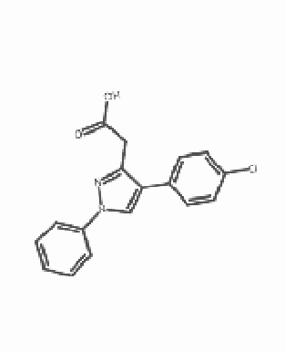 O=C(O)Cc1nn(-c2ccccc2)cc1-c1ccc(Cl)cc1